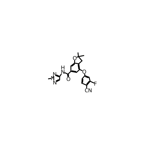 Cn1ncc(NC(=O)c2cc(Oc3ccc(C#N)c(F)c3)c3c(c2)OC(C)(C)C3)n1